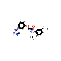 Cc1ccc(C)c(NC(=O)COc2cccc(-n3cnnn3)c2)c1